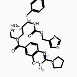 C/C(=N\c1ccc(C(=O)N(CC(C)C)C[C@H](O)[C@H](Cc2ccccc2)NC(=O)OCc2cncs2)cc1O)N1CCCC1